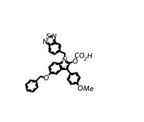 COc1ccc(-c2c(OC(=O)O)n(Cc3ccc4nsnc4c3)c3ccc(OCc4ccccc4)cc23)cc1